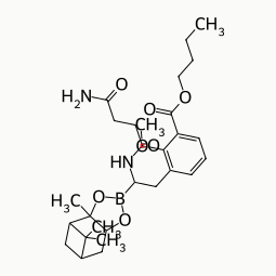 CCCCOC(=O)c1cccc(CC(NC(=O)CCC(N)=O)B2OC3CC4CC(C4(C)C)C3(C)O2)c1OC